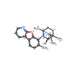 Cc1ccc2c(oc3ncccc32)c1N1[C@@H](C)C2(C)CCC1(C)CC2